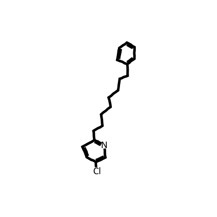 Clc1ccc(CCCCCCCCc2ccccc2)nc1